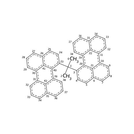 CC(C)(c1ccc2cccc3c4cccc5cccc(c1c23)c54)c1ccc2cccc3c4cccc5cccc(c1c23)c54